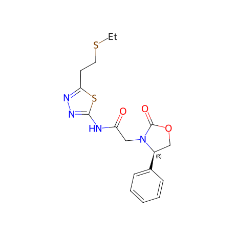 CCSCCc1nnc(NC(=O)CN2C(=O)OC[C@H]2c2ccccc2)s1